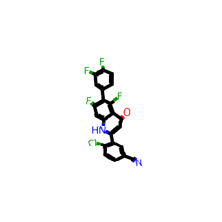 N#Cc1ccc(Cl)c(-c2cc(=O)c3c(F)c(-c4ccc(F)c(F)c4)c(F)cc3[nH]2)c1